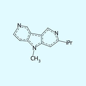 CC(C)c1cc2c(cn1)c1cnccc1n2C